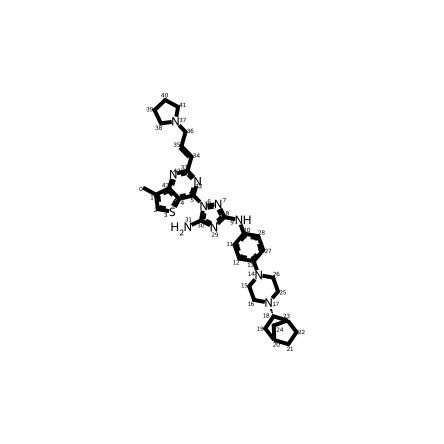 Cc1csc2c(-n3nc(Nc4ccc(N5CCN([C@H]6CC7CCC6C7)CC5)cc4)nc3N)nc(/C=C/CN3CCCC3)nc12